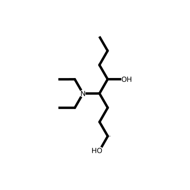 CCCC(O)C(CC[CH]O)N(CC)CC